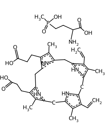 C=Cc1c2[nH]c(c1C)Cc1[nH]c(c(CCC(=O)O)c1C)Cc1[nH]c(c(C)c1CCC(=O)O)Cc1[nH]c(c(C)c1C=C)C2.CP(=O)(O)CCC(N)C(=O)O